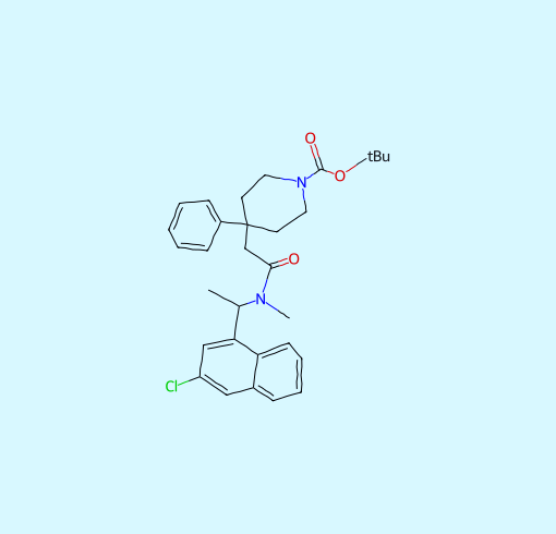 CC(c1cc(Cl)cc2ccccc12)N(C)C(=O)CC1(c2ccccc2)CCN(C(=O)OC(C)(C)C)CC1